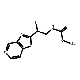 CC(C)(C)OC(=O)NCC(F)c1nc2cnccc2o1